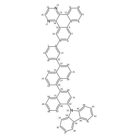 c1cc(-c2ccc3c4ccccc4c4nccnc4c3c2)cc(-c2cccc3c(-c4ccc(-n5c6ccccc6c6ccccc65)c5ccccc45)cccc23)c1